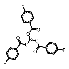 O=C(OB(OC(=O)c1ccc(F)cc1)OC(=O)c1ccc(F)cc1)c1ccc(F)cc1